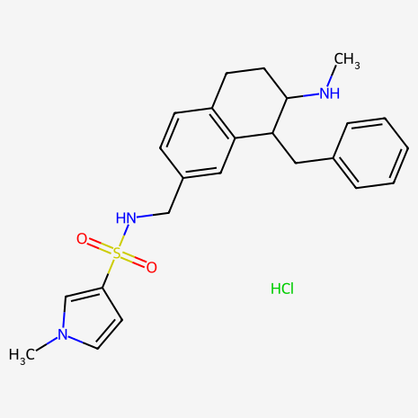 CNC1CCc2ccc(CNS(=O)(=O)c3ccn(C)c3)cc2C1Cc1ccccc1.Cl